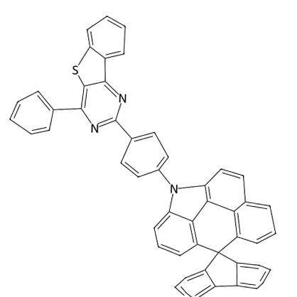 c1ccc(-c2nc(-c3ccc(-n4c5cccc6c5c5c7c(cccc7ccc54)C64c5ccccc5-c5ccccc54)cc3)nc3c2sc2ccccc23)cc1